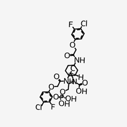 O=C(COc1ccc(Cl)c(F)c1)NC12CCC(NC(=O)COc3ccc(Cl)c(F)c3)(CC1)[C@@H](N(CCOP(=O)(O)O)C(=O)O)C2